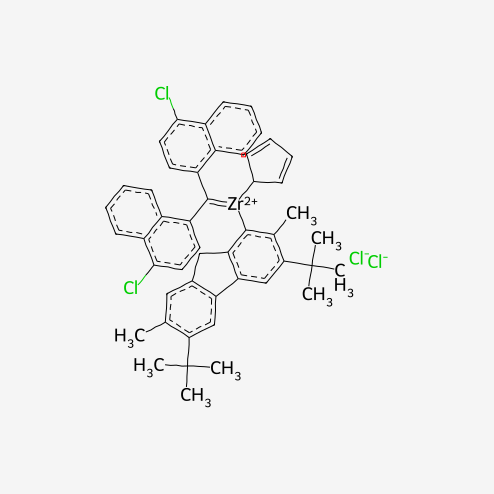 Cc1cc2c(cc1C(C)(C)C)-c1cc(C(C)(C)C)c(C)[c]([Zr+2](=[C](c3ccc(Cl)c4ccccc34)c3ccc(Cl)c4ccccc34)[CH]3C=CC=C3)c1C2.[Cl-].[Cl-]